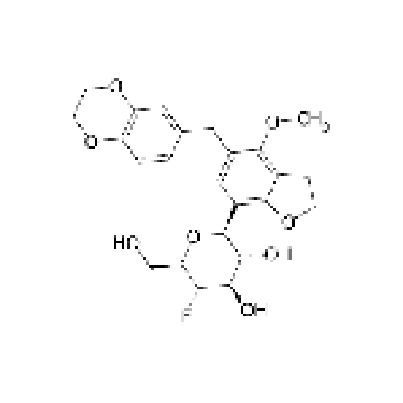 COc1c(Cc2ccc3c(c2)OCCO3)cc([C@@H]2O[C@H](CO)[C@@H](F)[C@H](O)[C@H]2O)c2c1CCO2